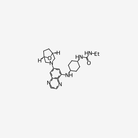 CCNC(=O)N[C@H]1CC[C@@H](Nc2cc(N3C[C@H]4CC[C@@H](C3)O4)cc3nccnc23)CC1